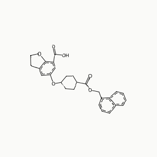 O=C(O)c1cc(OC2CCC(C(=O)OCc3cccc4ccccc34)CC2)cc2c1OCC2